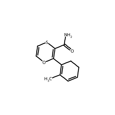 CC1=C(C2=C(C(N)=O)SC=CO2)CCC=C1